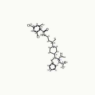 CN/C(=N\[N+](=O)[O-])N(Cc1ccsc1)C1CCN([C@H](C)CCNC(=O)c2c(C)cc(Cl)nc2Cl)CC1